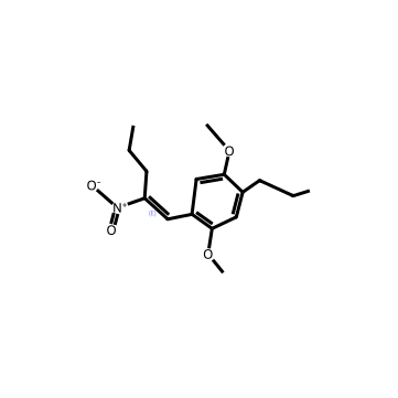 CCC/C(=C\c1cc(OC)c(CCC)cc1OC)[N+](=O)[O-]